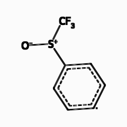 [O-][S+](c1cc[c]cc1)C(F)(F)F